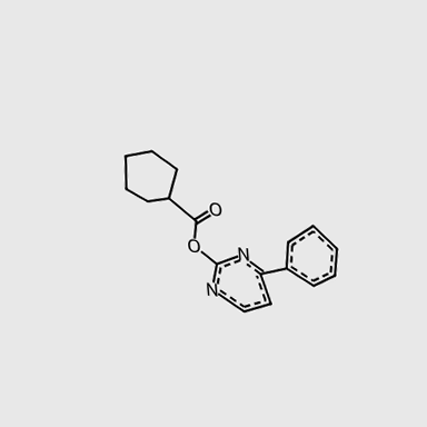 O=C(Oc1nccc(-c2ccccc2)n1)C1CCCCC1